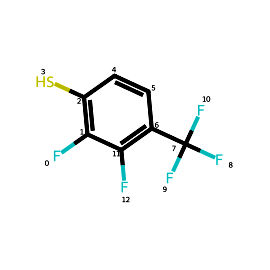 Fc1c(S)ccc(C(F)(F)F)c1F